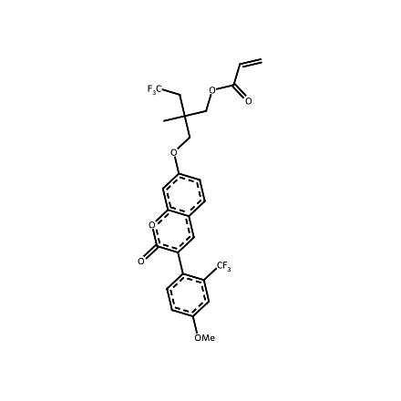 C=CC(=O)OCC(C)(COc1ccc2cc(-c3ccc(OC)cc3C(F)(F)F)c(=O)oc2c1)CC(F)(F)F